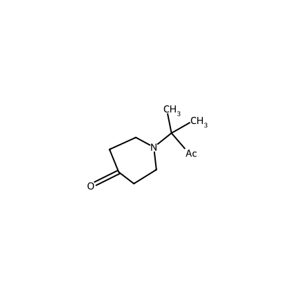 CC(=O)C(C)(C)N1CCC(=O)CC1